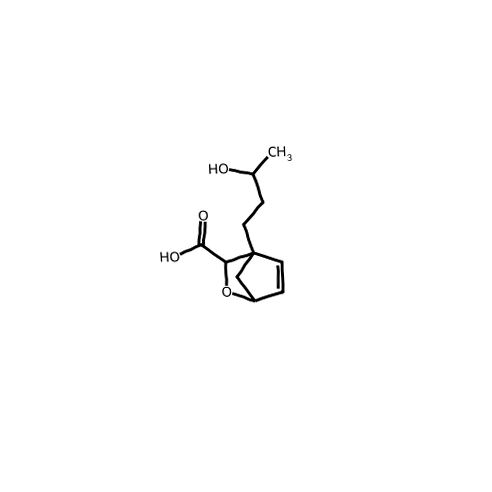 CC(O)CCC12C=CC(C1)OC2C(=O)O